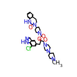 CN1CCC(N2CCN(C(=O)C(Cc3cc(Cl)c4[nH]ncc4c3)OC(=O)N3CCC(N4CCc5ccccc5NC4=O)CC3)CC2)CC1